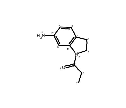 CCC(=O)N1CCc2ccc(N)cc21